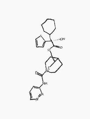 O=C(OC1C[N+]2(C(=O)Nc3cccnn3)CCC1CC2)[C@@](O)(c1cccs1)C1CCCCC1